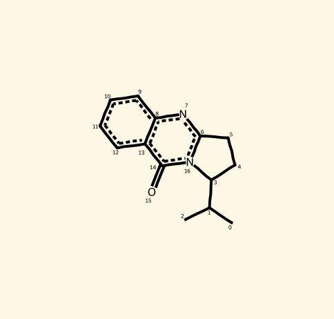 CC(C)C1CCc2nc3ccccc3c(=O)n21